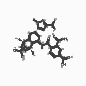 Cn1ccc(C(F)F)n1.NC(=O)c1cc(C(=O)O)ccc1C(=O)Nc1cccc2c1[C@H]1CC[C@@H]2C1=C(Cl)Cl